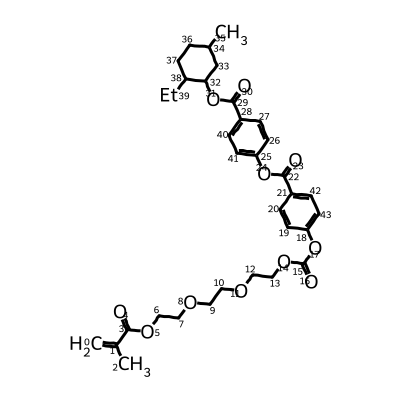 C=C(C)C(=O)OCCOCCOCCOC(=O)Oc1ccc(C(=O)Oc2ccc(C(=O)OC3CC(C)CCC3CC)cc2)cc1